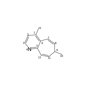 Cc1ccnc2c1C=CC(C)C=C2